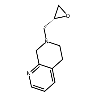 c1cnc2c(c1)CCN(C[C@@H]1CO1)C2